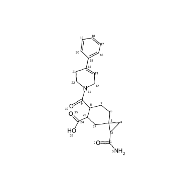 NC(=O)C1CC12CCC(C(=O)N1CC=C(c3ccccc3)CC1)C(C(=O)O)C2